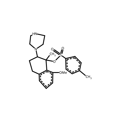 COc1cccc2c1C(C)(OS(=O)(=O)c1ccc(C)cc1)C(N1CCNCC1)CC2